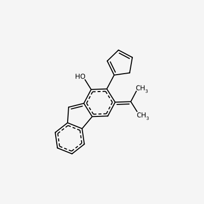 CC(C)=c1cc2c(c(O)c1C1=CC=CC1)=Cc1ccccc1-2